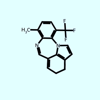 Cc1ccc(C(F)(F)F)c2c1N=CC1=CCCc3ccn-2c31